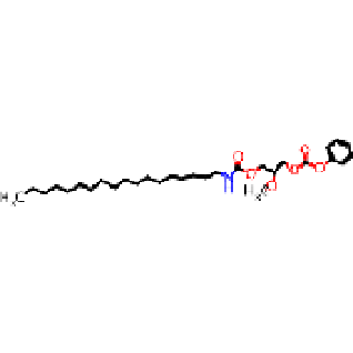 CCCCCCCCCCCCCCCCCCNC(=O)OCC(COC(=O)Oc1ccccc1)OC